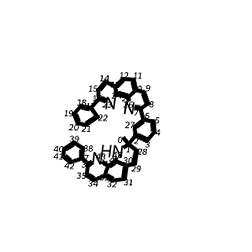 CC1(c2cccc(-c3ccc4ccc5ccc(-c6ccccc6)nc5c4n3)c2)C=Cc2ccc3ccc(-c4ccccc4)nc3c2N1